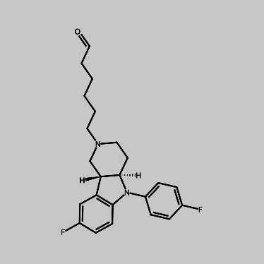 O=CCCCCCN1CC[C@@H]2[C@@H](C1)c1cc(F)ccc1N2c1ccc(F)cc1